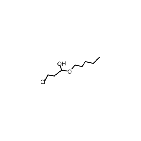 CCCCCOC(O)CCCl